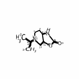 CC(C)N1CCC2NC(=O)OC2C1